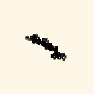 Cc1cc(NC(=O)c2ccc(CCNC(=O)OC(C)(C)C)cc2)ccc1C1=CCN(C(=O)OC(C)(C)C)CC1